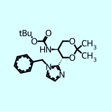 CC(C)(C)OC(=O)N[C@H]1COC(C)(C)O[C@@H]1c1nccn1Cc1ccccc1